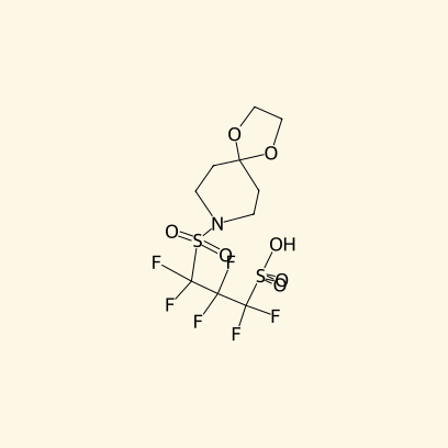 O=S(=O)(O)C(F)(F)C(F)(F)C(F)(F)S(=O)(=O)N1CCC2(CC1)OCCO2